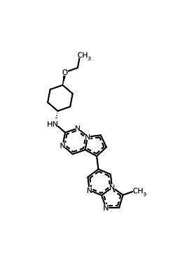 CCO[C@H]1CC[C@H](Nc2ncc3c(-c4cnc5ncc(C)n5c4)ccn3n2)CC1